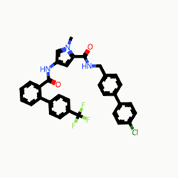 Cn1cc(NC(=O)c2ccccc2-c2ccc(C(F)(F)F)cc2)cc1C(=O)NCc1ccc(-c2ccc(Cl)cc2)cc1